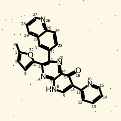 Cc1ccc(-c2nc3[nH]cc(-c4ccccn4)c(=O)c3nc2-c2ccc3ncccc3c2)o1